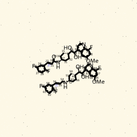 COc1cc(F)c2nccc([C@@H](O)[C@H](O)[C@H]3CC[C@H](NC(=O)/C=C/c4cc(F)ccc4F)CC3)c2c1.COc1cc(F)c2nccc([C@@H](O)[C@H](O)[C@H]3CC[C@H](NC/C=C/c4cc(F)ccc4F)CC3)c2c1